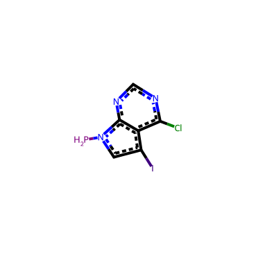 Pn1cc(I)c2c(Cl)ncnc21